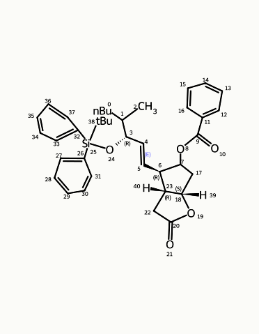 CCCCC(C)[C@H](/C=C/[C@H]1C(OC(=O)c2ccccc2)C[C@@H]2OC(=O)C[C@@H]21)O[Si](c1ccccc1)(c1ccccc1)C(C)(C)C